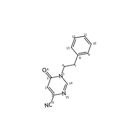 N#Cc1cc(=O)n(CCc2ccccc2)cn1